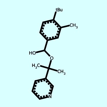 Cc1cc(C(O)OC(C)(C)c2cccnc2)ccc1C(C)(C)C